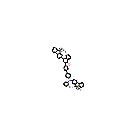 CC1(C)c2ccccc2-c2ccc(-c3cc4c5ccc(-c6ccc(N(c7ccccc7)c7ccc8c(c7)C(C)(C)c7ccccc7-8)cc6)cc5oc4c4ccccc34)cc21